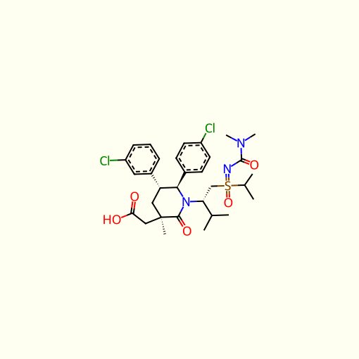 CC(C)[C@@H](CS(=O)(=NC(=O)N(C)C)C(C)C)N1C(=O)[C@@](C)(CC(=O)O)C[C@H](c2cccc(Cl)c2)[C@H]1c1ccc(Cl)cc1